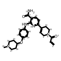 C=CC(=O)N1CC=C(c2ccc(C(N)=O)c(Nc3ccc(OC4CCN(C)CC4)cc3)n2)CC1